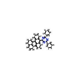 c1ccc(-c2nc(-c3ccccc3)nc(-c3c4ccccc4c(-c4cccc5ccccc45)c4ccccc34)n2)cc1